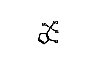 CCC1=[C]([W]([CH2]C)([CH2]C)[N]=O)CC=C1